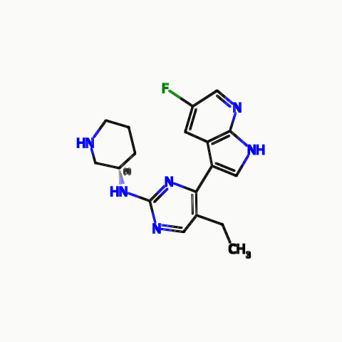 CCc1cnc(N[C@H]2CCCNC2)nc1-c1c[nH]c2ncc(F)cc12